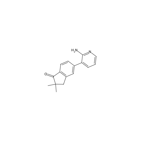 CC1(C)Cc2cc(-c3cccnc3N)ccc2C1=O